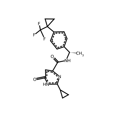 C[C@H](NC(=O)c1cc(=O)[nH]c(C2CC2)n1)c1ccc(C2(C(F)(F)F)CC2)cc1